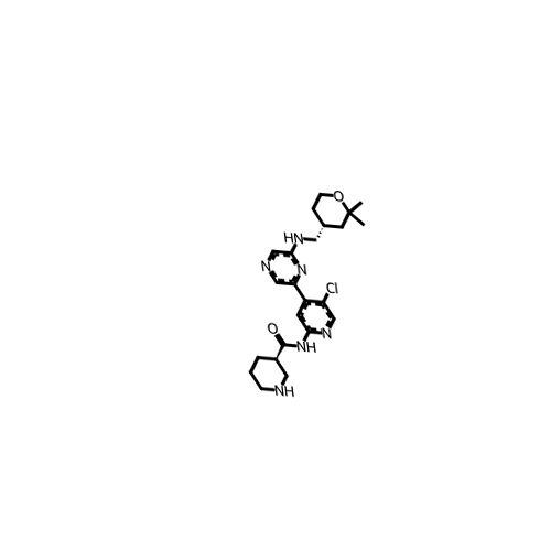 CC1(C)C[C@H](CNc2cncc(-c3cc(NC(=O)[C@@H]4CCCNC4)ncc3Cl)n2)CCO1